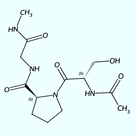 CNC(=O)CNC(=O)[C@@H]1CCCN1C(=O)[C@H](CO)NC(C)=O